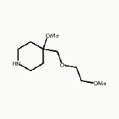 COCCOCC1(OC)CCNCC1